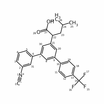 [C-]#[N+]c1cccc(-c2cc(-c3ccc(C(F)(F)F)cc3)cc(C(CC(C)C)C(=O)O)c2)c1